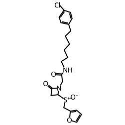 O=C(CN1C(=O)CC1[S+]([O-])Cc1ccco1)NCCCCCCc1ccc(Cl)cc1